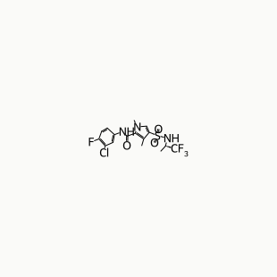 Cc1c(S(=O)(=O)N[C@H](C)C(F)(F)F)cn(C)c1C(=O)Nc1ccc(F)c(Cl)c1